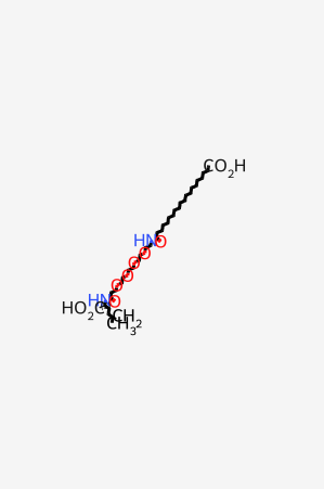 C=C(C)CC[C@H](NC(=O)CCOCCOCCOCCOCCNC(=O)CCCCCCCCCCCCCCCCCCC(=O)O)C(=O)O